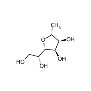 C[C@H]1O[C@@H]([C@H](O)CO)[C@H](O)[C@@H]1O